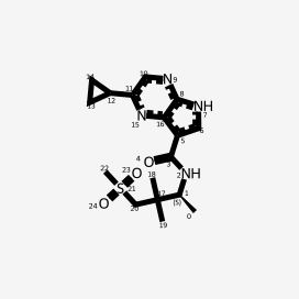 C[C@H](NC(=O)c1c[nH]c2ncc(C3CC3)nc12)C(C)(C)CS(C)(=O)=O